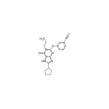 [C-]#[N+]c1cccc(Oc2nc3nc(C4CCCC4)[nH]c3c(=O)n2CCC)c1